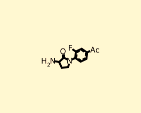 CC(=O)c1ccc(N2CCC(N)C2=O)c(F)c1